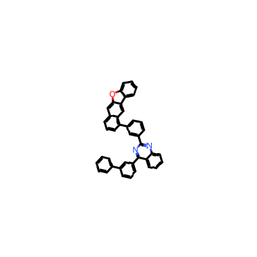 c1ccc(-c2cccc(-c3nc(-c4cccc(-c5cccc6cc7oc8ccccc8c7cc56)c4)nc4ccccc34)c2)cc1